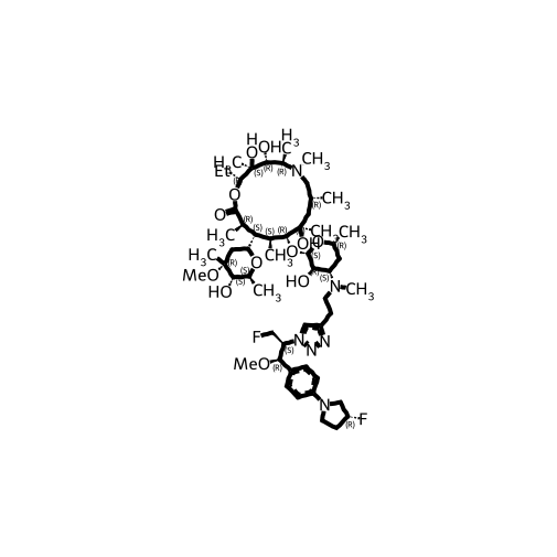 CC[C@H]1OC(=O)[C@H](C)[C@@H](C2C[C@@](C)(OC)[C@@H](O)[C@H](C)O2)[C@H](C)[C@@H](O[C@@H]2O[C@H](C)C[C@H](N(C)CCc3cn([C@H](CF)[C@H](OC)c4ccc(N5CC[C@@H](F)C5)cc4)nn3)[C@H]2O)[C@](C)(O)C[C@@H](C)CN(C)[C@H](C)[C@@H](O)[C@]1(C)O